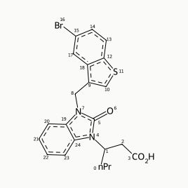 CCCC(CC(=O)O)n1c(=O)n(Cc2csc3ccc(Br)cc23)c2ccccc21